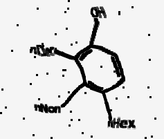 CCCCCCCCCCc1c(O)ccc(CCCCCC)c1CCCCCCCCC